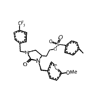 COc1ccc(CN2C(=O)N(Cc3ccc(C(F)(F)F)cc3)CC2CCOS(=O)(=O)c2ccc(C)cc2)cc1